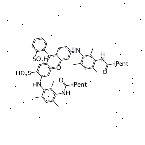 CCCC(C)C(=O)Nc1c(C)cc(C)c(/N=c2/ccc3c(-c4ccccc4S(=O)(=O)O)c4cc(S(=O)(=O)O)c(Nc5c(C)cc(C)c(NC(=O)C(C)CCC)c5C)cc4oc-3c2)c1C